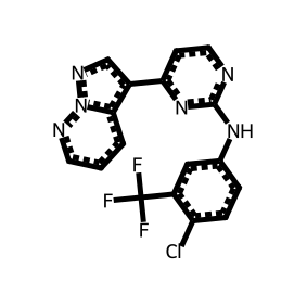 FC(F)(F)c1cc(Nc2nccc(-c3cnn4ncccc34)n2)ccc1Cl